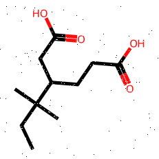 CCC(C)(C)C(CCC(=O)O)CC(=O)O